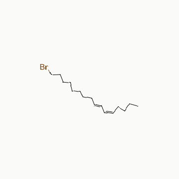 CCCC/C=C\C=C\CCCCCCCCBr